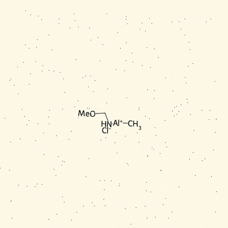 COC[NH][Al+][CH3].[Cl-]